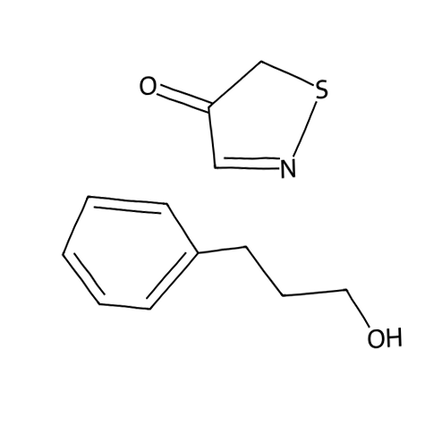 O=C1C=NSC1.OCCCc1ccccc1